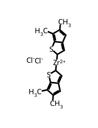 CC1=CC2=C[CH]([Zr+2][CH]3C=C4C=C(C)C(C)=C4S3)SC2=C1C.[Cl-].[Cl-]